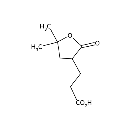 CC1(C)CC(CCC(=O)O)C(=O)O1